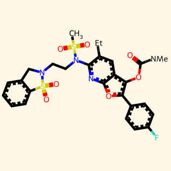 CCc1cc2c(OC(=O)NC)c(-c3ccc(F)cc3)oc2nc1N(CCN1Cc2ccccc2S1(=O)=O)S(C)(=O)=O